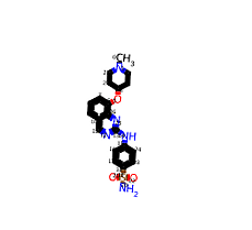 CN1CCC(Oc2cccc3cnc(Nc4ccc(S(N)(=O)=O)cc4)nc23)CC1